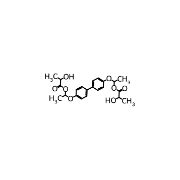 CC(OC(=O)C(C)O)Oc1ccc(-c2ccc(OC(C)OC(=O)C(C)O)cc2)cc1